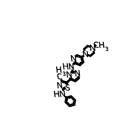 Cc1nc(Nc2ccccc2)sc1-c1ccnc(Nc2ccc(N3CCN(C)CC3)cn2)n1